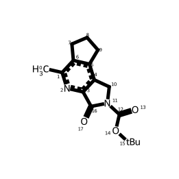 Cc1nc2c(c3c1CCC3)CN(C(=O)OC(C)(C)C)C2=O